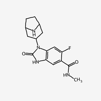 CNC(=O)c1cc2[nH]c(=O)n(C3CC4CCC(C3)N4)c2cc1F